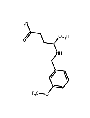 NC(=O)CC[C@H](NCc1cccc(OC(F)(F)F)c1)C(=O)O